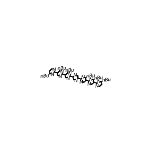 CCCCc1ccnc(-c2cnc(-c3cnc(-c4cnc(-c5ncc(-c6ncc(-c7nccc(CCCC)n7)c(CCCC)n6)c(CCCC)n5)cn4)nc3CCCC)nc2CCCC)n1